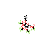 C[Si](C)(C)CCO[C@H]1O[C@H](COC(=O)C(F)(F)F)[C@@H](OC(=O)C(F)(F)F)[C@H](OC(=O)C(F)(F)F)[C@H]1OC(=O)C(F)(F)F